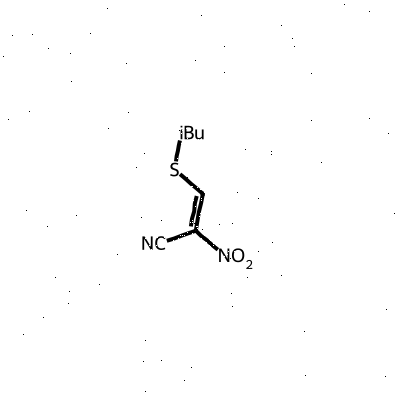 CCC(C)S/C=C(\C#N)[N+](=O)[O-]